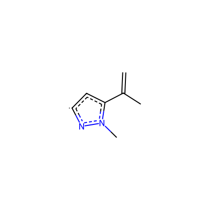 C=C(C)c1c[c]nn1C